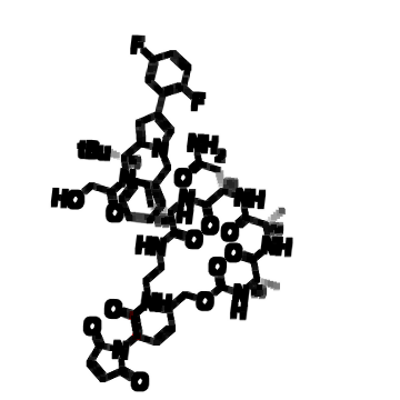 C[C@H](NC(=O)OCc1ccccc1)C(=O)N[C@@H](C)C(=O)N[C@@H](CC(N)=O)C(=O)N[C@@H](CCN(C(=O)CO)[C@@H](c1cc(-c2cc(F)ccc2F)cn1Cc1ccccc1)C(C)(C)C)C(=O)NCCNC(=O)CN1C(=O)C=CC1=O